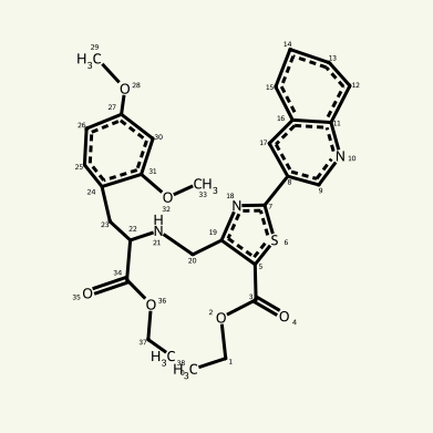 CCOC(=O)c1sc(-c2cnc3ccccc3c2)nc1CNC(Cc1ccc(OC)cc1OC)C(=O)OCC